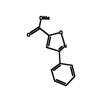 COC(=O)c1cc(-c2ccccc2)no1